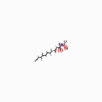 CCCCCCCCCCC(O)C[PH](C)=O